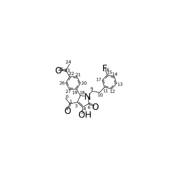 CC(=O)C1=C(O)C(=O)N(CCc2cccc(F)c2)C1c1ccc(C(C)=O)cc1